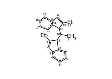 CCC1=Cc2ccccc2C1C(C)C1C(CC)=Cc2ccccc21